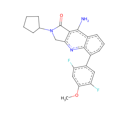 COc1cc(F)c(-c2cccc3c(N)c4c(nc23)CN(C2CCCC2)C4=O)cc1F